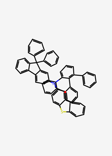 c1ccc(-c2ccccc2-c2c(-c3ccccc3)cccc2N(c2ccc3c(c2)C(c2ccccc2)(c2ccccc2)c2ccccc2-3)c2ccc3sc4ccccc4c3c2)cc1